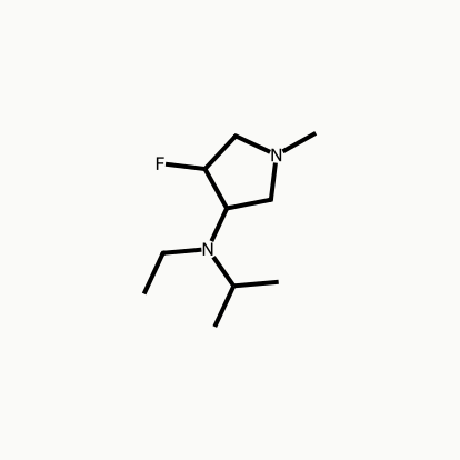 CCN(C(C)C)C1CN(C)CC1F